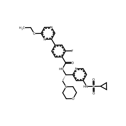 CCOc1cncc(-c2ccc(C(=O)N[C@@H](CN3CCOCC3)c3cc(NS(=O)(=O)C4CC4)ccn3)c(F)c2)n1